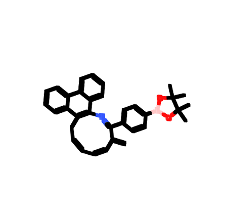 C=C1/C=C\C=C/Cc2c(c3ccccc3c3ccccc23)/N=C\1c1ccc(B2OC(C)(C)C(C)(C)O2)cc1